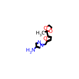 CC1(c2ccc(Cn3cc(N)cn3)o2)OCCO1